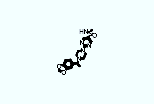 CC(c1ccc2c(c1)OCO2)N1CCN(c2ncc(S(C)(=N)=O)cn2)CC1